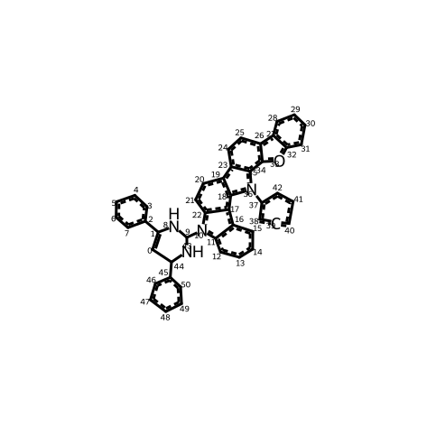 C1=C(c2ccccc2)NC(n2c3ccccc3c3c4c(ccc32)c2ccc3c5ccccc5oc3c2n4-c2ccccc2)NC1c1ccccc1